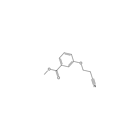 COC(=O)c1cccc(OCCC#N)c1